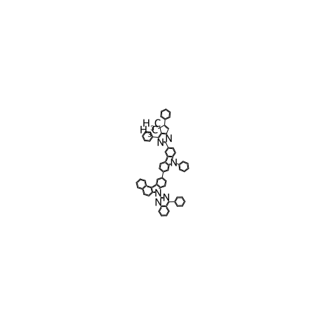 CC1(C)C(c2ccccc2)=Cc2nc(-c3ccc4c(c3)c3ccc(-c5ccc6c(c5)c5c7ccccc7ccc5n6-c5nc(-c6ccccc6)c6ccccc6n5)cc3n4-c3ccccc3)nc(-c3ccccc3)c21